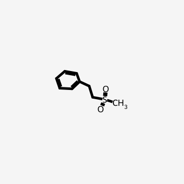 CS(=O)(=O)CCc1ccccc1